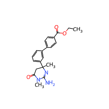 CCOC(=O)c1ccc(-c2cccc(C3(C)CC(=O)N(C)C(N)=N3)c2)cc1